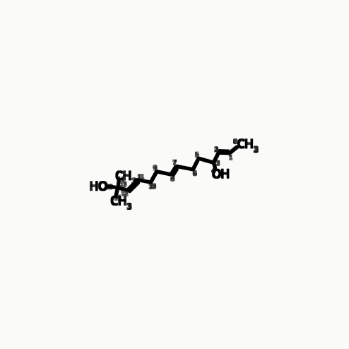 CC=CC(O)CCC=CCCC=CC(C)(C)O